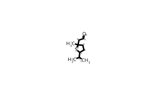 CC(C)C1CCC(C)(CC=O)S1